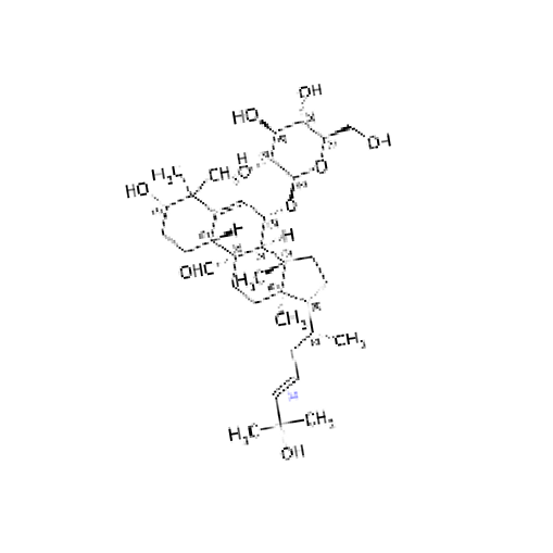 C[C@H](C/C=C/C(C)(C)O)[C@H]1CC[C@@]2(C)[C@@H]3[C@@H](O[C@@H]4O[C@H](CO)[C@@H](O)[C@H](O)[C@H]4O)C=C4[C@@H](CC[C@H](O)C4(C)C)[C@]3(C=O)CC[C@]12C